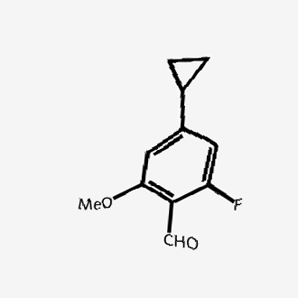 COc1cc(C2CC2)cc(F)c1C=O